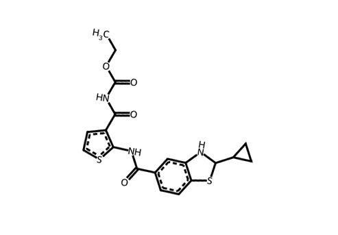 CCOC(=O)NC(=O)c1ccsc1NC(=O)c1ccc2c(c1)NC(C1CC1)S2